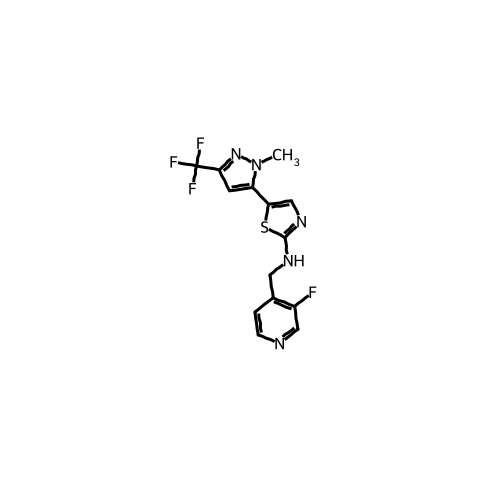 Cn1nc(C(F)(F)F)cc1-c1cnc(NCc2ccncc2F)s1